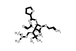 C=CCON1C(=O)[C@@](C(=O)C=O)([C@H](CO[SiH](C)C)C(C)(C)C)[C@H]1SC(=O)C1CCCO1